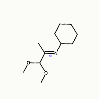 COC(OC)/C(C)=N/C1CCCCC1